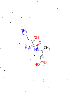 CC(/C=C/C(=O)O)NC(=O)[C@@H](N)[C@@H](O)CCCN